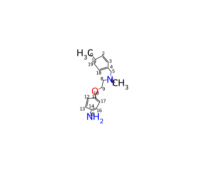 Cc1ccc(CN(C)CCOc2ccc(N)cc2)cc1